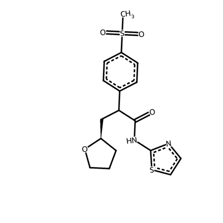 CS(=O)(=O)c1ccc(C(C[C@H]2CCCO2)C(=O)Nc2nccs2)cc1